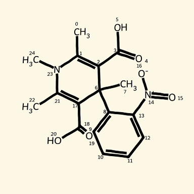 CC1=C(C(=O)O)C(C)(c2ccccc2[N+](=O)[O-])C(C(=O)O)=C(C)N1C